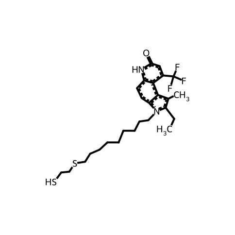 CCc1c(C)c2c3c(C(F)(F)F)cc(=O)[nH]c3ccc2n1CCCCCCCCCSCCS